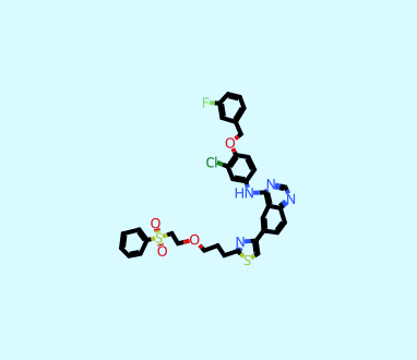 O=S(=O)(CCOCCCc1nc(-c2ccc3ncnc(Nc4ccc(OCc5cccc(F)c5)c(Cl)c4)c3c2)cs1)c1ccccc1